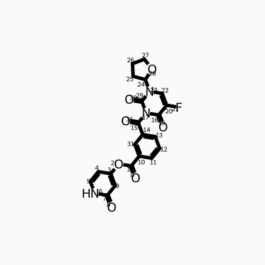 O=C(Oc1cc[nH]c(=O)c1)c1cccc(C(=O)n2c(=O)c(F)cn(C3CCCO3)c2=O)c1